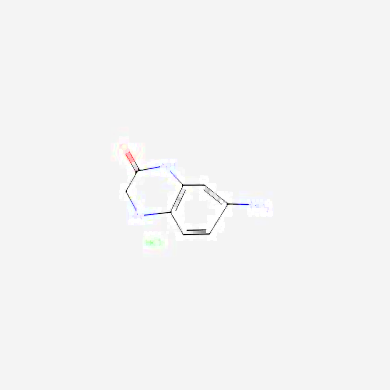 Cl.Nc1ccc2c(c1)NC(=O)CN2